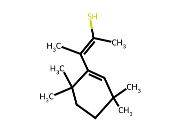 C/C(S)=C(/C)C1=CC(C)(C)CCC1(C)C